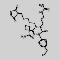 NC(=O)NCCC[C@@H](C(=O)Nc1ccc(CCl)cc1)N(CCCCCN1C(=O)C=CC1=O)C(=O)C1(C(N)=O)CCC1